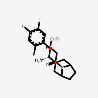 N[C@H](Cc1cc(F)c(F)cc1F)C1CC2CCC(C1)N2C(=O)CNC=O